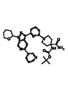 CC(C)(C)OC(=O)NC1(C(N)=O)CCN(c2cccc(-c3nn(C4CCCCO4)c4cnc(-c5cccnc5)cc34)n2)CC1